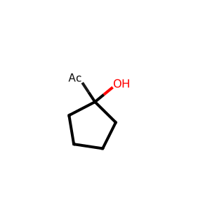 CC(=O)C1(O)CCCC1